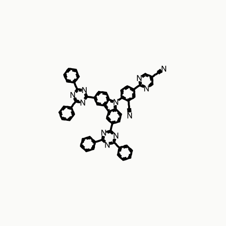 N#Cc1cnc(-c2ccc(-n3c4ccc(-c5nc(-c6ccccc6)nc(-c6ccccc6)n5)cc4c4cc(-c5nc(-c6ccccc6)nc(-c6ccccc6)n5)ccc43)c(C#N)c2)nc1